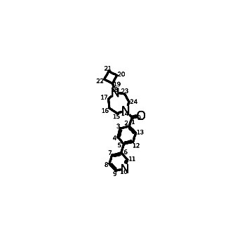 O=C(c1ccc(-c2cccnc2)cc1)N1CCCN(C2CCC2)CC1